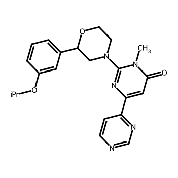 CC(C)Oc1cccc(C2CN(c3nc(-c4ccncn4)cc(=O)n3C)CCO2)c1